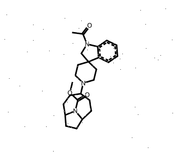 COC(=O)N1C2CCC(N3CCC4(CC3)CN(C(C)=O)c3ccccc34)CCC1CC2